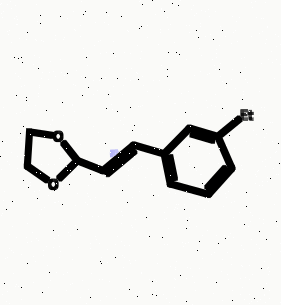 CCc1cccc(/C=C/C2OCCO2)c1